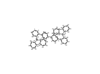 c1ccc(-c2ccc(-c3ccc(-c4ccccc4B4c5ccccc5-c5ccccc54)nc3)cn2)c(B2c3ccccc3-c3ccccc32)c1